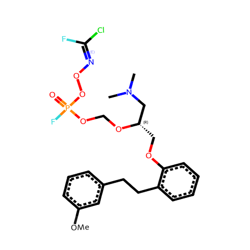 COc1cccc(CCc2ccccc2OC[C@@H](CN(C)C)OCOP(=O)(F)OO/N=C(\F)Cl)c1